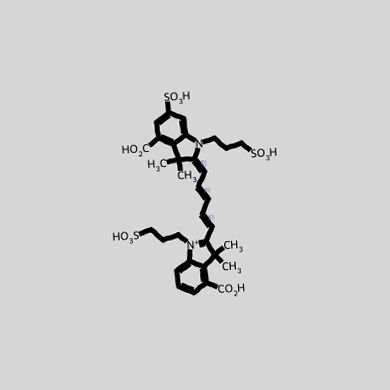 CC1(C)C(/C=C/C=C/C=C2/N(CCCS(=O)(=O)O)c3cc(S(=O)(=O)O)cc(C(=O)O)c3C2(C)C)=[N+](CCCS(=O)(=O)O)c2cccc(C(=O)O)c21